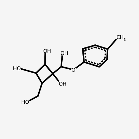 Cc1ccc(OC(O)C2(O)C(O)C(O)C2CO)cc1